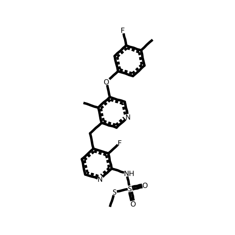 CSS(=O)(=O)Nc1nccc(Cc2cncc(Oc3ccc(C)c(F)c3)c2C)c1F